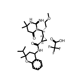 COCC[C@H]([C@@H]1C[C@H]1C(=O)NC1CC(C)(C(C)C)Oc2ccccc21)N1C(=N)NC(C)(C)CC1=O.O=C(O)C(F)(F)F